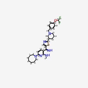 CNc1nc(N2CCCCCCC2)ccc1C(=N)c1cnc(C2CCCN(Cc3ccc(OC(F)F)cc3)C2)s1